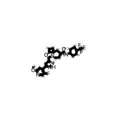 COc1cc(-c2cc(C(=O)N3CCC(C(=O)NC4CCC(C(F)(F)F)CC4)CC34CCC4)n[nH]2)c(F)cn1